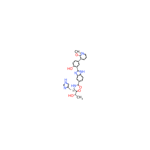 COc1ncccc1-c1ccc(O)c(-c2nc3cc(C(=O)N[C@@H](Cc4c[nH]cn4)C(=O)C(C)O)ccc3[nH]2)c1